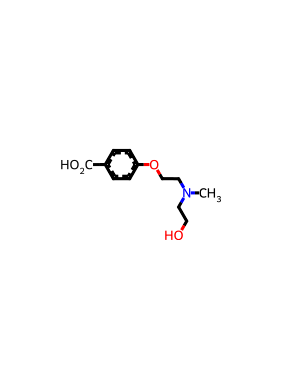 CN(CCO)CCOc1ccc(C(=O)O)cc1